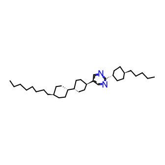 CCCCCCCC[C@H]1CC[C@H]([C@H]2CC[C@H](c3cnc([C@H]4CC[C@H](CCCCC)CC4)nc3)CC2)CC1